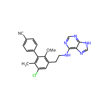 COc1c(CCNc2ncnc3[nH]cnc23)cc(Cl)c(C)c1-c1ccc(C#N)cc1